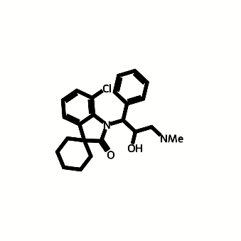 CNCC(O)C(c1ccccc1)N1C(=O)C2(CCCCC2)c2cccc(Cl)c21